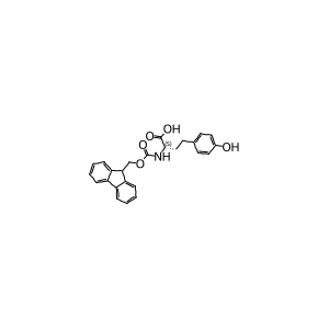 O=C(N[C@@H](CCc1ccc(O)cc1)C(=O)O)OCC1c2ccccc2-c2ccccc21